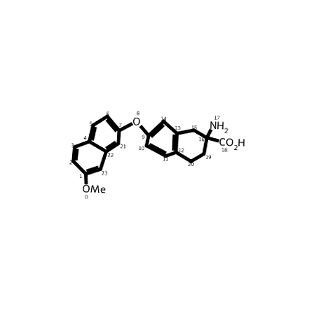 COc1ccc2ccc(Oc3ccc4c(c3)CC(N)(C(=O)O)CC4)cc2c1